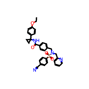 CCOc1ccc(C2(NC(=O)c3ccc(CN(Cc4ccccn4)S(=O)(=O)c4ccc(C#N)cc4)cc3)CC2)cc1